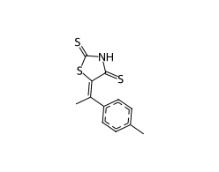 C/C(=C1\SC(=S)NC1=S)c1ccc(C)cc1